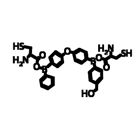 NC(CS)C(=O)OB(c1ccccc1)c1ccc(Oc2ccc(B(OC(=O)C(N)CS)c3ccc(CO)cc3)cc2)cc1